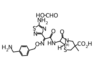 CC1(C(=O)O)CS[C@@H]2C(NC(=O)C(=NOCc3ccc(CN)cc3)c3nsc(N)n3)C(=O)N2C1.O=CO